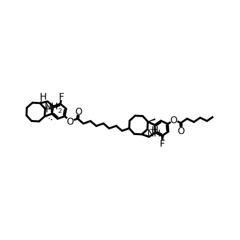 CCCCCC(=O)Oc1cc(F)c2c(c1)[C@@]1(C)CCCC(CCCCCCCC(=O)Oc3cc(F)c4c(c3)[C@@]3(C)CCCCC[C@@H](C4)[C@@H]3N)CC(C2)[C@@H]1N